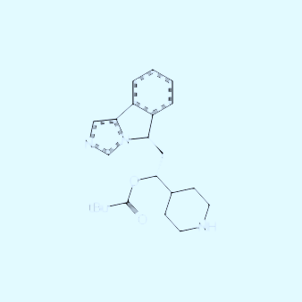 CC(C)(C)C(=O)O[C@H](C[C@@H]1c2ccccc2-c2cncn21)C1CCNCC1